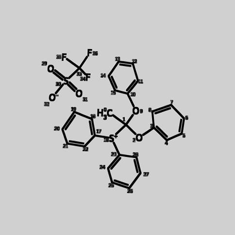 CC(Oc1ccccc1)(Oc1ccccc1)[S+](c1ccccc1)c1ccccc1.O=S(=O)([O-])C(F)(F)F